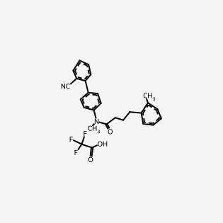 Cc1ccccc1CCCC(=O)N(C)c1ccc(-c2ccccc2C#N)cc1.O=C(O)C(F)(F)F